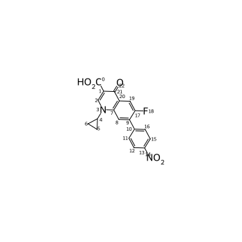 O=C(O)c1cn(C2CC2)c2cc(-c3ccc([N+](=O)[O-])cc3)c(F)cc2c1=O